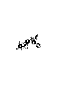 COc1cc(OC)c(F)c(C(O)c2nc3cc(Nc4cnc(N5CCOCC5)cc4NC(=O)C=S)ncc3o2)c1F